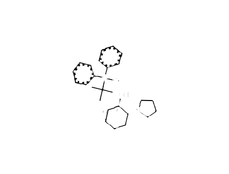 CC(C)(C[C@H]1CCC[C@@H](N2CCCC2)[C@@H]1O)[Si](O)(c1ccccc1)c1ccccc1